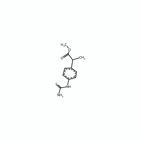 COC(=O)C(C)c1ccc(NC(N)=S)cc1